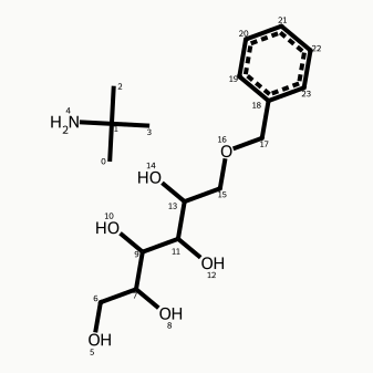 CC(C)(C)N.OCC(O)C(O)C(O)C(O)COCc1ccccc1